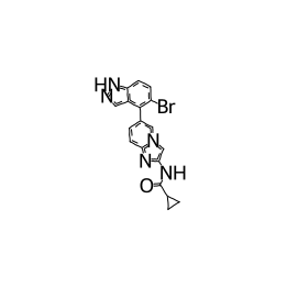 O=C(Nc1cn2cc(-c3c(Br)ccc4[nH]ncc34)ccc2n1)C1CC1